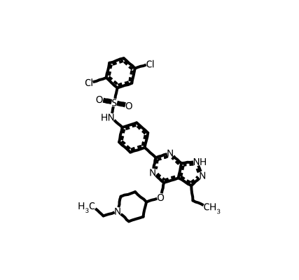 CCc1n[nH]c2nc(-c3ccc(NS(=O)(=O)c4cc(Cl)ccc4Cl)cc3)nc(OC3CCN(CC)CC3)c12